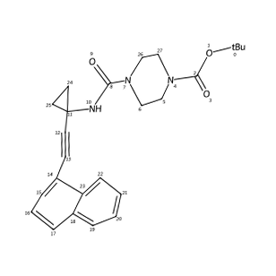 CC(C)(C)OC(=O)N1CCN(C(=O)NC2(C#Cc3cccc4ccccc34)CC2)CC1